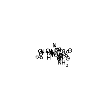 CCC(OP(=O)(OCCN)OC[C@H]1OC(n2cnc3c(NC(=O)CCCN(C)C(=O)OCC4c5ccccc5-c5ccccc54)ncnc32)CC1OP(OCCC#N)N(C(C)C)C(C)C)[C@@H](COC(c1ccccc1)(c1ccc(OC)cc1)c1ccc(OC)cc1)OC